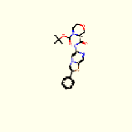 CC(C)(C)OC(=O)N1CCOC[C@H]1C(=O)NC1=CN2C=C(c3ccccc3)SC2=CN1